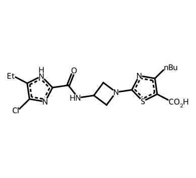 CCCCc1nc(N2CC(NC(=O)c3nc(Cl)c(CC)[nH]3)C2)sc1C(=O)O